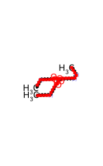 CCCCC/C=C\C/C=C\CCCCCCCC(=O)O[C@H](COC(=O)CCCCCCC/C=C\CCCCCC)COC(=O)CCCCCCC/C=C\CCCCCCCCC